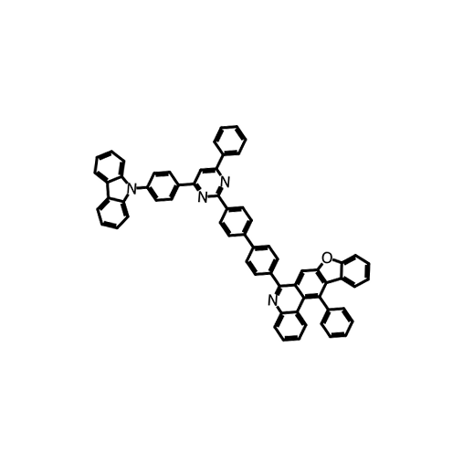 c1ccc(-c2cc(-c3ccc(-n4c5ccccc5c5ccccc54)cc3)nc(-c3ccc(-c4ccc(-c5nc6ccccc6c6c(-c7ccccc7)c7c(cc56)oc5ccccc57)cc4)cc3)n2)cc1